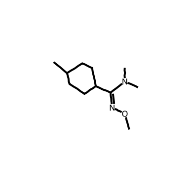 CO/N=C(/C1CCC(C)CC1)N(C)C